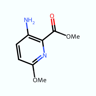 COC(=O)c1nc(OC)ccc1N